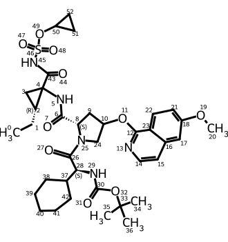 CC[C@@H]1CC1(NC(=O)[C@@H]1CC(Oc2nccc3cc(OC)ccc23)CN1C(=O)[C@@H](NC(=O)OC(C)(C)C)C1CCCCC1)C(=O)NS(=O)(=O)OC1CC1